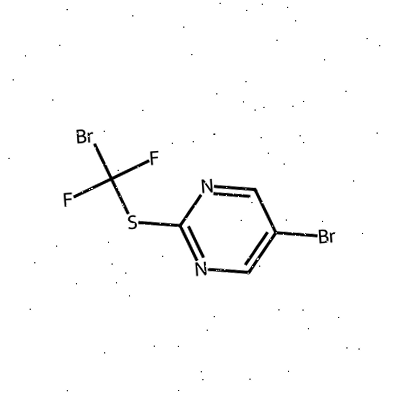 FC(F)(Br)Sc1ncc(Br)cn1